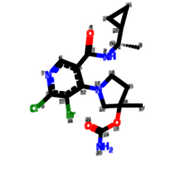 C[C@H](NC(=O)c1cnc(Cl)c(Br)c1N1CCC(C)(OC(N)=O)C1)C1CC1